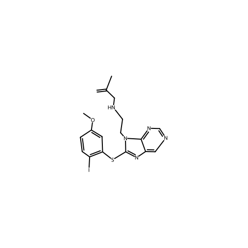 C=C(C)CNCCn1c(Sc2cc(OC)ccc2I)nc2cncnc21